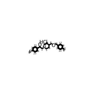 Cl.O=C(CN1CCC(COCc2ccc(F)cc2)CC1)c1ccc(F)cc1